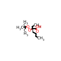 CCCC[C@](CC)(OOC(C)(C)C)C(=O)O